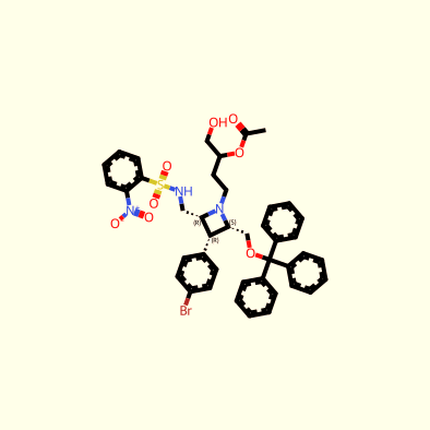 CC(=O)OC(CO)CCN1[C@H](COC(c2ccccc2)(c2ccccc2)c2ccccc2)[C@H](c2ccc(Br)cc2)[C@@H]1CNS(=O)(=O)c1ccccc1[N+](=O)[O-]